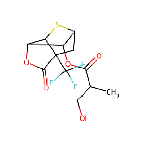 CC(CO)C(=O)OC1C2CC3(C(F)(F)F)C(=O)OC1C3S2